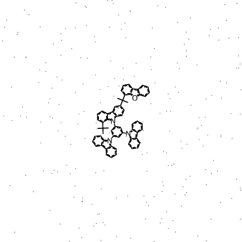 CC(C)(C)c1cccc2c3cc(C(C)(C)c4cccc5c4oc4ccccc45)ccc3n(-c3cc(-n4c5ccccc5c5ccccc54)cc(-n4c5ccccc5c5ccccc54)c3)c12